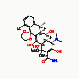 CCc1cccc2c1C1(OCCO1)C1=C(O)[C@@]3(O)[C@@H]([C@@H](O)[C@@H]1[C@H]2C)[C@H](N(C)C)C(O)=C(C(N)=O)C3(OC)OC